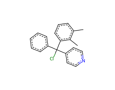 Cc1cccc(C(Cl)(c2ccccc2)c2ccncc2)c1C